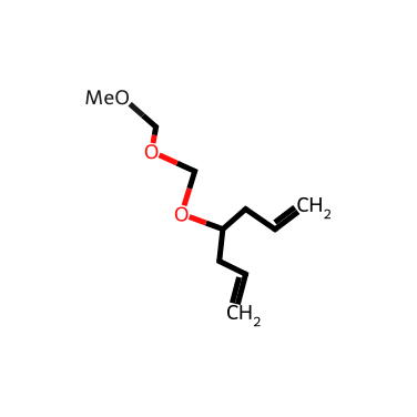 C=CCC(CC=C)OCOCOC